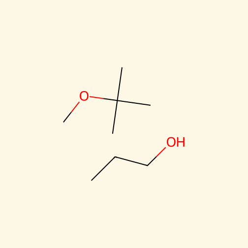 CCCO.COC(C)(C)C